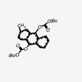 Cc1ccc2c(OC(=O)OCC(C)C)c3ccccc3c(OC(=O)OCC(C)C)c2c1